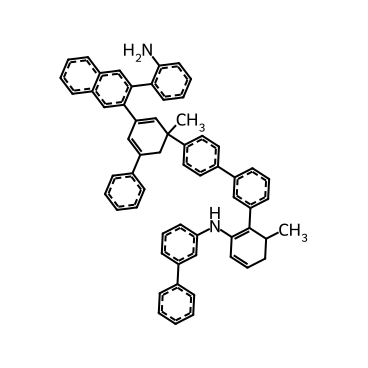 CC1CC=CC(Nc2cccc(-c3ccccc3)c2)=C1c1cccc(-c2ccc(C3(C)C=C(c4cc5ccccc5cc4-c4ccccc4N)C=C(c4ccccc4)C3)cc2)c1